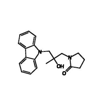 CC(O)(CN1CCCC1=O)Cn1c2ccccc2c2ccccc21